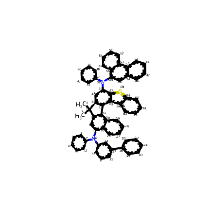 CC1(C)c2cc(N(c3ccccc3)c3cccc(-c4ccccc4)c3)c3ccccc3c2-c2c1cc(N(c1ccccc1)c1cc3ccccc3c3ccccc13)c1sc3ccccc3c21